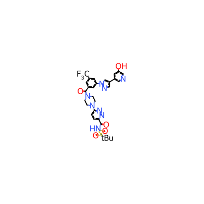 CC(C)(C)S(=O)(=O)NC(=O)c1ccc(N2CCN(C(=O)c3cc(-n4cc(-c5cncc(O)c5)cn4)cc(C(F)(F)F)c3)CC2)nn1